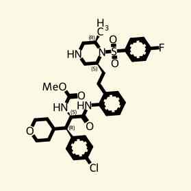 COC(=O)N[C@H](C(=O)Nc1ccccc1CC[C@H]1CNC[C@@H](C)N1S(=O)(=O)c1ccc(F)cc1)[C@@H](c1ccc(Cl)cc1)C1CCOCC1